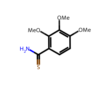 COc1ccc(C(N)=S)c(OC)c1OC